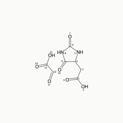 O=C(O)CC1NC(=O)NC1=O.O=CC(=O)O